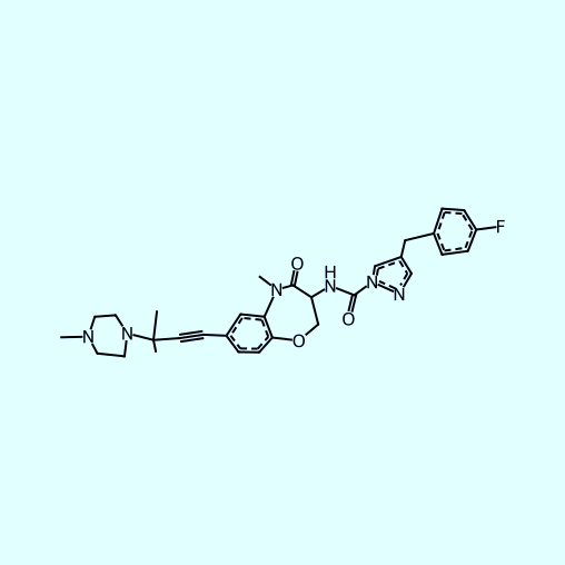 CN1CCN(C(C)(C)C#Cc2ccc3c(c2)N(C)C(=O)C(NC(=O)n2cc(Cc4ccc(F)cc4)cn2)CO3)CC1